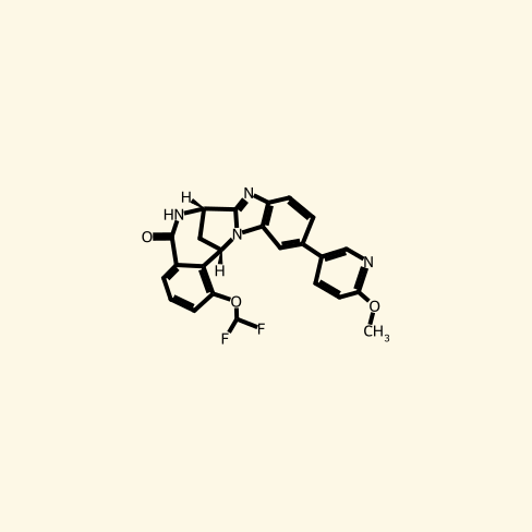 COc1ccc(-c2ccc3nc4n(c3c2)[C@H]2C[C@@H]4NC(=O)c3cccc(OC(F)F)c32)cn1